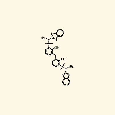 CC(C)(C)C(n1nc2ccccc2n1)C(C)(C)c1cccc(Cc2cccc(C(C)(C)C(n3nc4ccccc4n3)C(C)(C)C)c2O)c1O